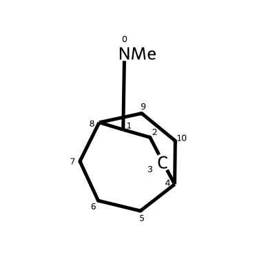 CNC1CCC2CCCC1CC2